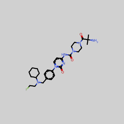 CC(C)(N)C(=O)N1CCN(C(=O)Nc2ccn(-c3ccc(CN(CCF)C4CCCCC4)cc3)c(=O)n2)CC1